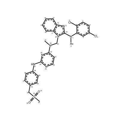 CC(=O)N(c1cc(Cl)ccc1Cl)c1nc2ccccc2n1CN(C)c1ccnc(Nc2ccc(CS(C)(=O)=O)cc2)n1